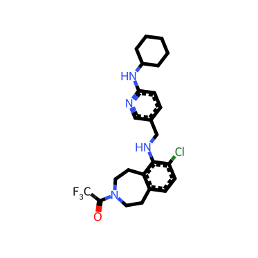 O=C(N1CCc2ccc(Cl)c(NCc3ccc(NC4CCCCC4)nc3)c2CC1)C(F)(F)F